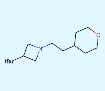 CC(C)(C)C1CN(CCC2CCOCC2)C1